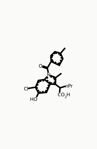 CCCC(C(=O)O)c1c(C)n(C(=O)c2ccc(C)cc2)c2cc(Cl)c(O)cc12